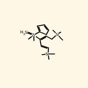 C[Si](C)(C)C=C[C](=CC[Si](C)(C)C)[Zr]([CH3])([CH3])(=[SiH2])[C]1=CC=CC1